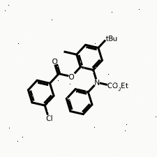 CCOC(=O)N(c1ccccc1)c1cc(C(C)(C)C)cc(C)c1OC(=O)c1cccc(Cl)c1